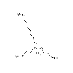 C=CCCCCCCCC[Si](C)(OCCOC)OCCOC